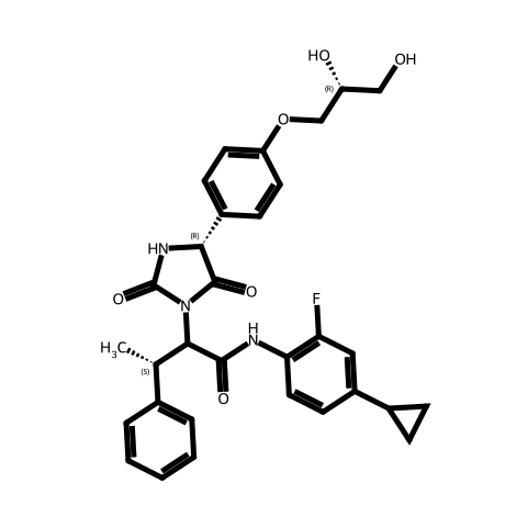 C[C@@H](c1ccccc1)C(C(=O)Nc1ccc(C2CC2)cc1F)N1C(=O)N[C@H](c2ccc(OC[C@H](O)CO)cc2)C1=O